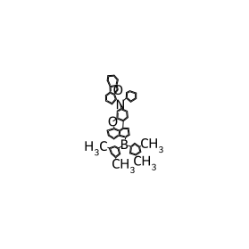 Cc1cc(C)cc(B(c2cc(C)cc(C)c2)c2ccc3c4c(cccc24)Oc2cc(N(c4ccccc4)c4cccc5c4oc4ccccc45)ccc2-3)c1